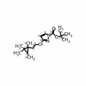 CC1C(C)(C)C1(C)CCOc1ccn(C(=O)OC(C)(C)C)n1